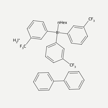 CCCCCC[B-](c1cccc(C(F)(F)F)c1)(c1cccc(C(F)(F)F)c1)c1cccc(C(F)(F)F)c1.[IH2+].c1ccc(-c2ccccc2)cc1